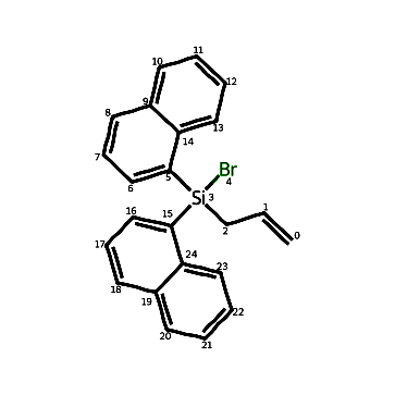 C=CC[Si](Br)(c1cccc2ccccc12)c1cccc2ccccc12